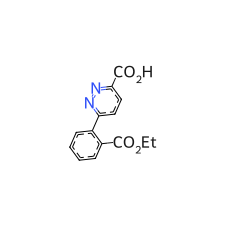 CCOC(=O)c1ccccc1-c1ccc(C(=O)O)nn1